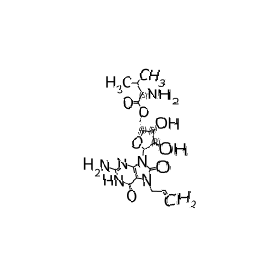 C=CCn1c(=O)n(C2O[C@H](COC(=O)[C@@H](N)C(C)C)[C@@H](O)[C@H]2O)c2nc(N)[nH]c(=O)c21